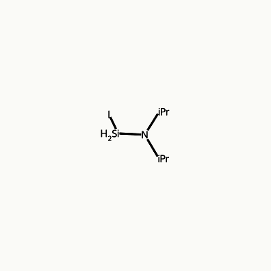 CC(C)N([SiH2]I)C(C)C